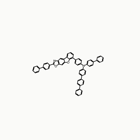 c1ccc(-c2ccc(-c3ccc(N(c4ccc(-c5ccccc5)cc4)c4ccc(-c5cccc6c5oc5cc7oc(-c8ccc(-c9ccccc9)cc8)nc7cc56)cc4)cc3)cc2)cc1